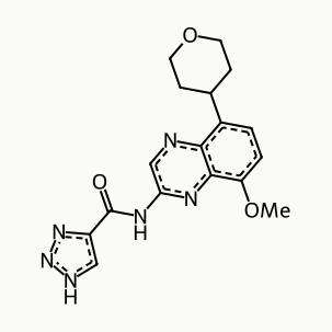 COc1ccc(C2CCOCC2)c2ncc(NC(=O)c3c[nH]nn3)nc12